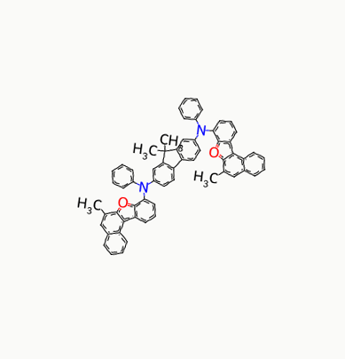 Cc1cc2ccccc2c2c1oc1c(N(c3ccccc3)c3ccc4c(c3)C(C)(C)c3cc(N(c5ccccc5)c5cccc6c5oc5c(C)cc7ccccc7c56)ccc3-4)cccc12